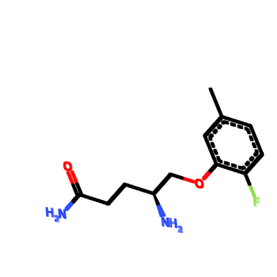 Cc1ccc(F)c(OC[C@@H](N)CCC(N)=O)c1